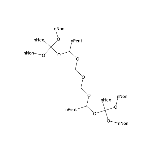 CCCCCCCCCOC(CCCCCC)(OCCCCCCCCC)OC(CCCCC)OCOCOC(CCCCC)OC(CCCCCC)(OCCCCCCCCC)OCCCCCCCCC